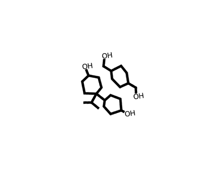 CC(C)C1(C2CCC(O)CC2)CCC(O)CC1.OCC1CCC(CO)CC1